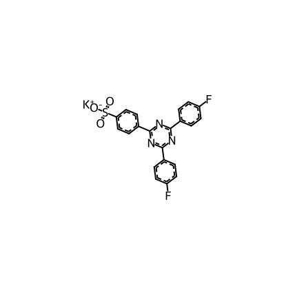 O=S(=O)([O-])c1ccc(-c2nc(-c3ccc(F)cc3)nc(-c3ccc(F)cc3)n2)cc1.[K+]